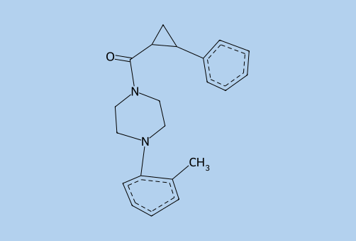 Cc1ccccc1N1CCN(C(=O)C2CC2c2ccccc2)CC1